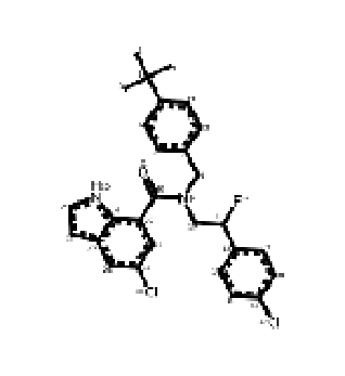 CC(C)(C)c1ccc(CN(CC(F)c2ccc(Cl)cc2)C(=O)c2cc(Cl)cc3cc[nH]c23)cc1